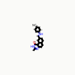 Cc1nc2ccc3ccc(CNc4ccc(C#N)cc4)cc3c2c(=O)[nH]1